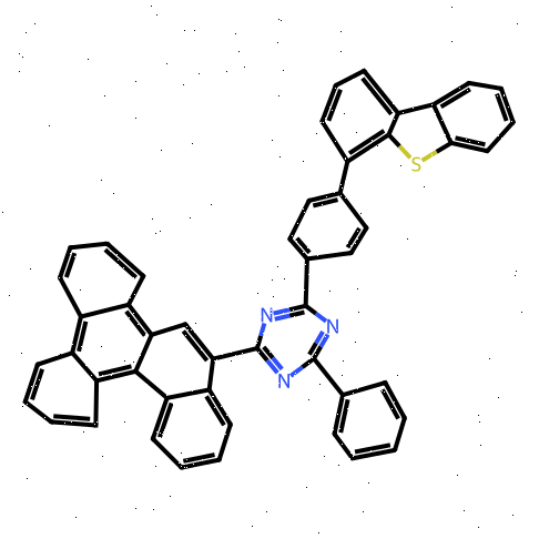 c1ccc(-c2nc(-c3ccc(-c4cccc5c4sc4ccccc45)cc3)nc(-c3cc4c5ccccc5c5ccccc5c4c4ccccc34)n2)cc1